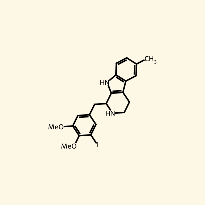 COc1cc(CC2NCCc3c2[nH]c2ccc(C)cc32)cc(I)c1OC